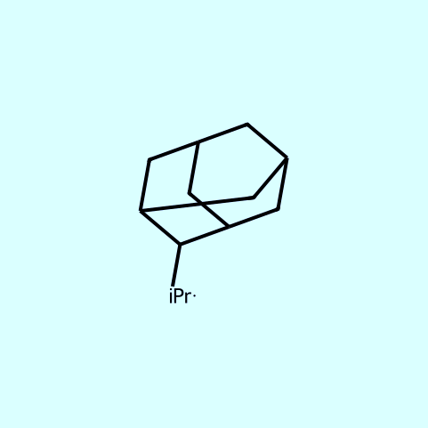 C[C](C)C1C2CC3CC(C2)CC1C3